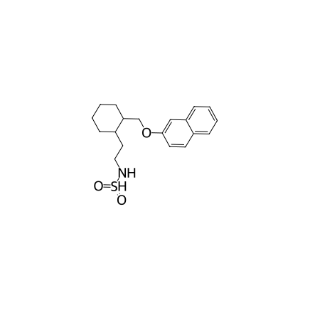 O=[SH](=O)NCCC1CCCCC1COc1ccc2ccccc2c1